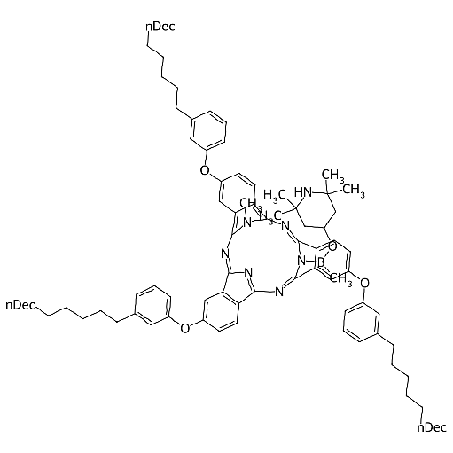 CCCCCCCCCCCCCCCc1cccc(Oc2ccc3c(c2)-c2nc-3nc3c4cc(Oc5cccc(CCCCCCCCCCCCCCC)c5)ccc4c(nc4c5ccc(Oc6cccc(CCCCCCCCCCCCCCC)c6)cc5c(n2)n4C)n3B(C)OC2CC(C)(C)NC(C)(C)C2)c1